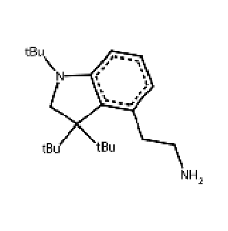 CC(C)(C)N1CC(C(C)(C)C)(C(C)(C)C)c2c(CCN)cccc21